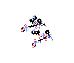 C[C@@H](NC(=O)C(=O)C(CCCCNC(=O)N1CCOCC1)N(CC1(Cc2cccnc2)CCC1)C(=O)O)c1ccccc1.C[C@@H](NC(=O)C(=O)[C@H](CCCCNC(=O)N1CCOCC1)NC(=O)OCC1(Cc2cccnc2)CCC1)c1ccccc1